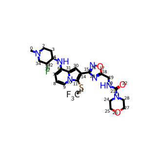 CN1CC[C@@H](Nc2cccn3c(SC(F)(F)F)c(-c4noc(CNC(=O)N5CCOCC5)n4)cc23)[C@@H](F)C1